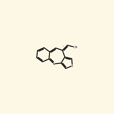 N#C/C=C1/C=c2ccccc2=Nc2cscc21